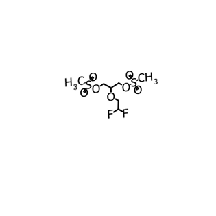 CS(=O)(=O)OCC(COS(C)(=O)=O)OCC(F)F